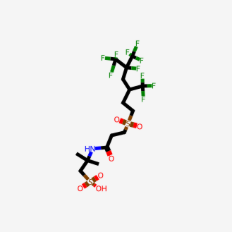 CC(C)(CS(=O)(=O)O)NC(=O)CCS(=O)(=O)CCC(CC(F)(C(F)(F)F)C(F)(F)F)C(F)(F)F